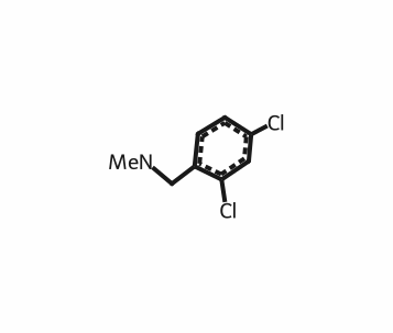 [CH2-][NH2+]Cc1ccc(Cl)cc1Cl